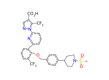 CS(=O)(=O)N1CCC(c2ccc(COc3c(-c4cccc(-n5ncc(C(=O)O)c5C(F)(F)F)n4)cccc3C(F)(F)F)cc2)CC1